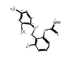 CNC(=S)Oc1cccc(Cl)c1COc1ccc(C)cc1C